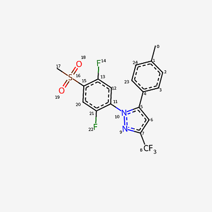 Cc1ccc(-c2cc(C(F)(F)F)nn2-c2cc(F)c(S(C)(=O)=O)cc2F)cc1